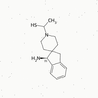 CC(S)N1CCC2(CC1)Cc1ccccc1[C@H]2N